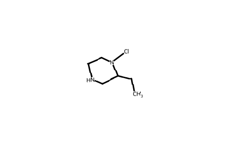 CCC1CNCCN1Cl